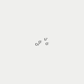 [Cl-].[Cl-].[Cs+].[Li+]